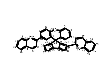 c1ccc2c(c1)Oc1ccc(-c3ccc4ccccc4n3)cc1C21c2ccccc2-c2ccc(-c3ccc4ccccc4n3)cc21